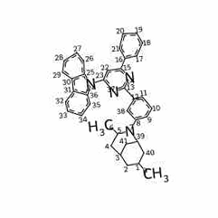 CC1CC2CC(C)N(c3cccc(-c4nc(-c5ccccc5)cc(-n5c6ccccc6c6ccccc65)n4)c3)C(C1)C2